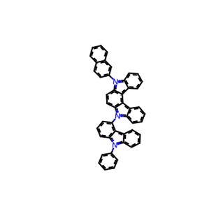 c1ccc(-n2c3ccccc3c3c(-n4c5ccccc5c5c6c7ccccc7n(-c7ccc8ccccc8c7)c6ccc54)cccc32)cc1